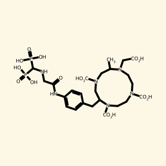 CC1CN(C(=O)O)CC(Cc2ccc(NC(=O)CNC(P(=O)(O)O)P(=O)(O)O)cc2)N(C(=O)O)CCN(C(=O)O)CCN1CC(=O)O